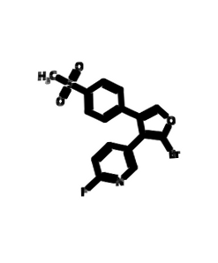 CS(=O)(=O)c1ccc(-c2coc(Br)c2-c2ccc(F)nc2)cc1